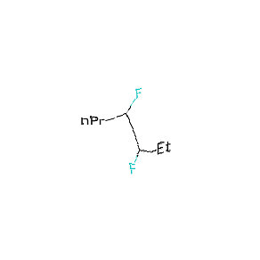 CCCC(F)C(F)CC